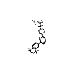 CC1(C)CCC(C)(C)c2cc(-c3cccc(N4CCN(C(C)(C)C(N)=O)CC4)n3)ccc21